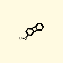 CCOc1ccc2c(c1)-c1ccccc1-2